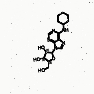 OC[C@H]1OC(n2cnc3c(NC4CCCCC4)ncnc32)[C@H](O)[C@@H]1O